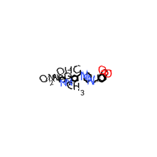 COc1cc(C(CC=O)N2CCN(Cc3ccc4c(c3)OCO4)CC2)ccc1N(C)c1ccc([N+](=O)[O-])cn1